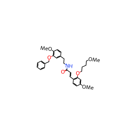 COCCCCOc1cc(OC)ccc1/C=C/C(=O)NCCc1ccc(OC)c(OCc2ccccc2)c1